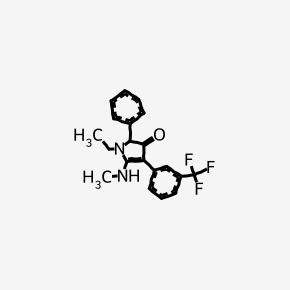 CCN1C(NC)=C(c2cccc(C(F)(F)F)c2)C(=O)C1c1ccccc1